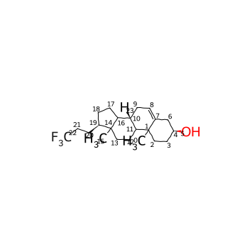 CC12CC[C@H](O)CC1=CC[C@@H]1C2CCC2(C)C1CC[C@@H]2CCC(F)(F)F